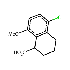 COc1ccc(Cl)c2c1C(C(=O)O)CCC2